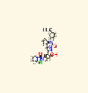 Cc1ccc(CNC(=O)n2nc(-c3cc(NC(=O)c4ccccc4Cl)ccc3O)cc2C2CCCC2)cc1